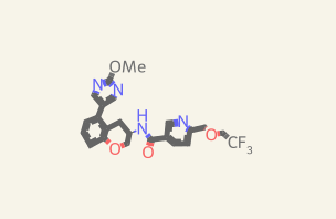 COc1ncc(-c2cccc3c2C[C@H](NC(=O)c2ccc(COCC(F)(F)F)nc2)CO3)cn1